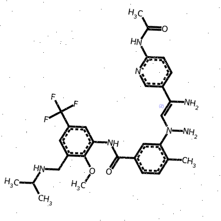 COc1c(CNC(C)C)cc(C(F)(F)F)cc1NC(=O)c1ccc(C)c(N(N)/C=C(\N)c2ccc(NC(C)=O)nc2)c1